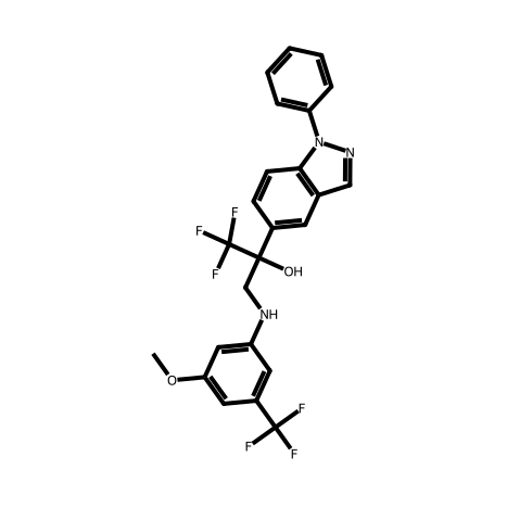 COc1cc(NCC(O)(c2ccc3c(cnn3-c3ccccc3)c2)C(F)(F)F)cc(C(F)(F)F)c1